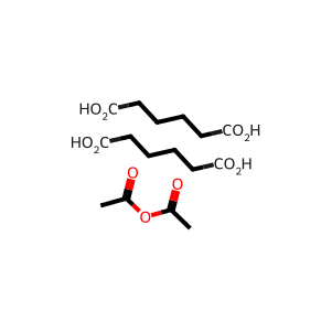 CC(=O)OC(C)=O.O=C(O)CCCCC(=O)O.O=C(O)CCCCC(=O)O